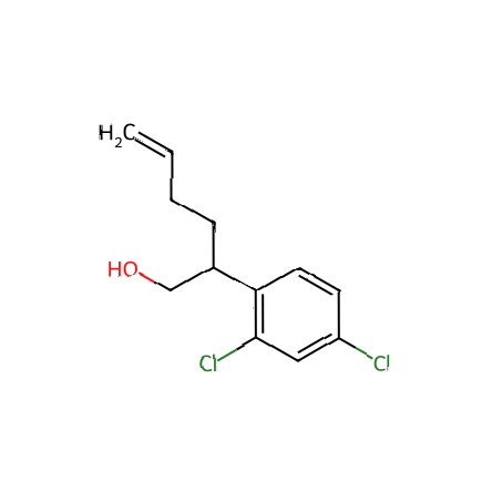 C=CCCC(CO)c1ccc(Cl)cc1Cl